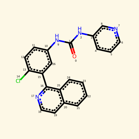 O=C(Nc1cccnc1)Nc1ccc(Cl)c(-c2nccc3ccccc23)c1